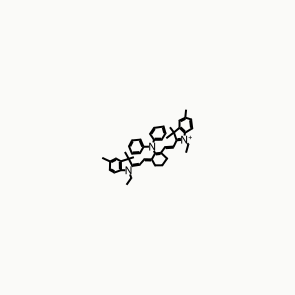 CCN1/C(=C/C=C2\CCCC(/C=C/C3=[N+](CC)c4ccc(C)cc4C3(C)C)=C2N(c2ccccc2)c2ccccc2)C(C)(C)c2cc(C)ccc21